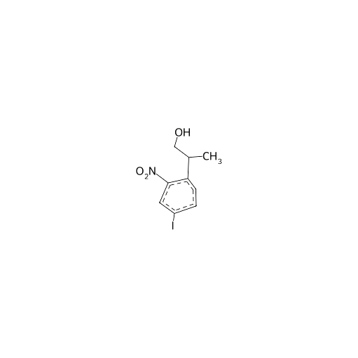 CC(CO)c1ccc(I)cc1[N+](=O)[O-]